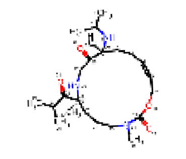 CC(C)N[C@]1(C)CCC=CCOC(=O)N(C)CCC[C@@](C)(C(=O)C(C)C)NCC1=O